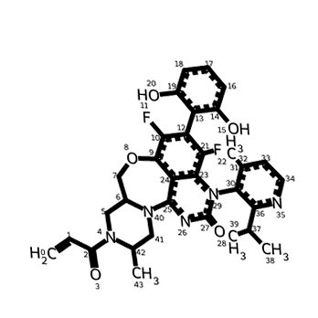 C=CC(=O)N1CC2COc3c(F)c(-c4c(O)cccc4O)c(F)c4c3c(nc(=O)n4-c3c(C)ccnc3C(C)C)N2CC1C